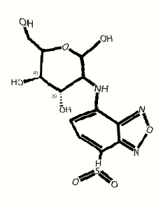 O=[SH](=O)c1ccc(NC2C(O)OC(CO)[C@H](O)[C@H]2O)c2nonc12